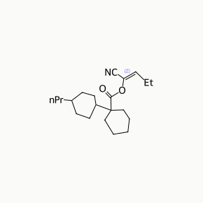 CC/C=C(/C#N)OC(=O)C1(C2CCC(CCC)CC2)CCCCC1